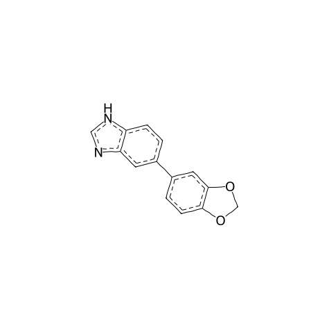 c1nc2cc(-c3ccc4c(c3)OCO4)ccc2[nH]1